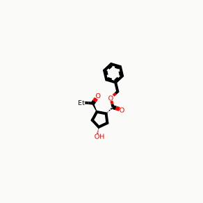 CCC(=O)[C@@H]1C[C@@H](O)C[C@H]1C(=O)OCc1ccccc1